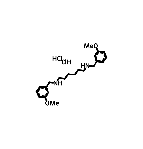 COc1cccc(CNCCCCCCNCc2cccc(OC)c2)c1.Cl.Cl